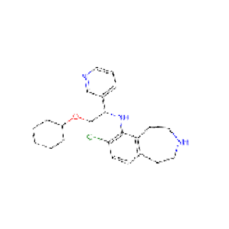 Clc1ccc2c(c1NC(COC1CCCCC1)c1cccnc1)CCNCC2